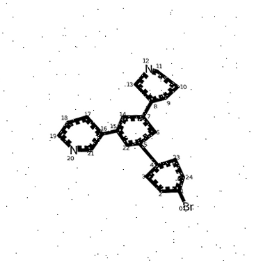 Brc1ccc(-c2cc(-c3cccnc3)cc(-c3cccnc3)c2)cc1